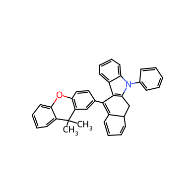 CC1(C)c2ccccc2Oc2ccc(C3=C4C=CC=CC4Cc4c3c3ccccc3n4-c3ccccc3)cc21